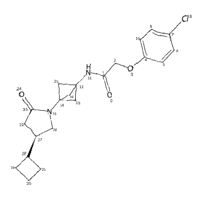 O=C(COc1ccc(Cl)cc1)NC12CC(N3C[C@@H](C4CCC4)CC3=O)(C1)C2